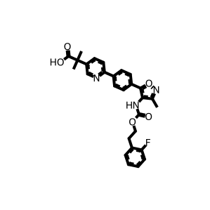 Cc1noc(-c2ccc(-c3ccc(C(C)(C)C(=O)O)cn3)cc2)c1NC(=O)OCCc1ccccc1F